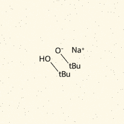 CC(C)(C)O.CC(C)(C)[O-].[Na+]